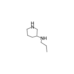 CCCNC1CCCNC1